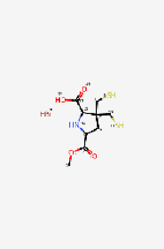 Br.COC(=O)C1CC(CS)(CS)C(C(=O)O)N1